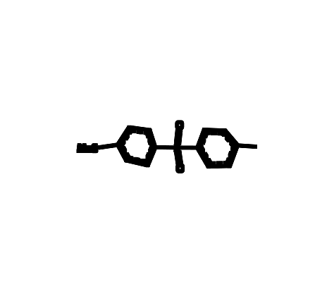 CSc1ccc(S(=O)(=O)c2ccc(C)cc2)cc1